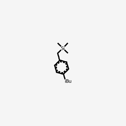 CCC(C)c1ccc(C[Si](C)(C)C)cc1